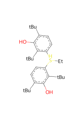 CC[SH](c1ccc(C(C)(C)C)c(O)c1C(C)(C)C)c1ccc(C(C)(C)C)c(O)c1C(C)(C)C